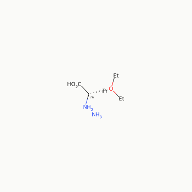 CC(C)[C@H](N)C(=O)O.CCOCC.N